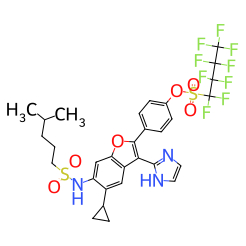 CC(C)CCCS(=O)(=O)Nc1cc2oc(-c3ccc(OS(=O)(=O)C(F)(F)C(F)(F)C(F)(F)C(F)(F)F)cc3)c(-c3ncc[nH]3)c2cc1C1CC1